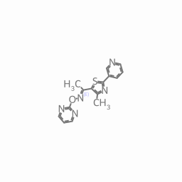 C/C(=N\Oc1ncccn1)c1sc(-c2cccnc2)nc1C